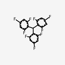 Fc1cc(F)c([C](c2c(F)cc(F)cc2F)c2c(F)cc(F)cc2F)c(F)c1